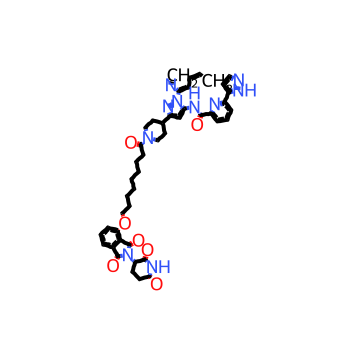 C=N/C(=C\C=C/C)n1nc(C2CCN(C(=O)CCCCCCCCOc3cccc4c3C(=O)N(C3CCC(=O)NC3=O)C4=O)CC2)cc1NC(=O)c1cccc(-c2ccn[nH]2)n1